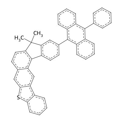 CC1(C)c2cc(-c3c4ccccc4c(-c4ccccc4)c4ccccc34)ccc2-c2c1ccc1cc3sc4ccccc4c3cc21